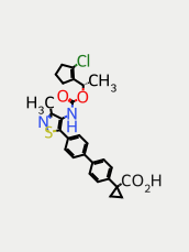 Cc1nsc(-c2ccc(-c3ccc(C4(C(=O)O)CC4)cc3)cc2)c1NC(=O)O[C@@H](C)C1=C(Cl)CCC1